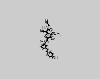 CCn1c(=C(C#N)C(=O)NCC#N)sc(=CNc2cccc(CCN3CCC(O)CC3)c2)c1=O